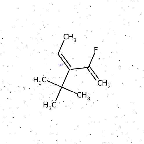 C=C(F)/C(=C\C)C(C)(C)C